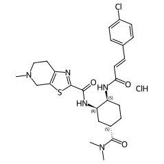 CN1CCc2nc(C(=O)N[C@@H]3C[C@@H](C(=O)N(C)C)CC[C@@H]3NC(=O)C=Cc3ccc(Cl)cc3)sc2C1.Cl